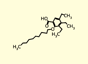 CCCCCCCCCCOc1c(C(=O)O)cc(CC)c(CC)c1CC